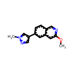 COc1cc2cc(-c3cnn(C)c3)ccc2cn1